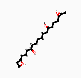 CC1OC1CCCC(=O)CCCCCCC(=O)CCCC1CCO1